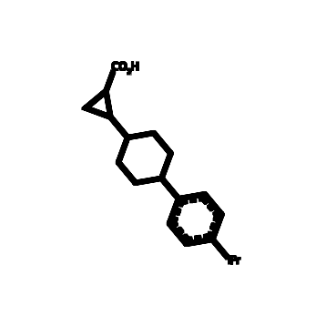 CC(C)c1ccc(C2CCC(C3CC3C(=O)O)CC2)cc1